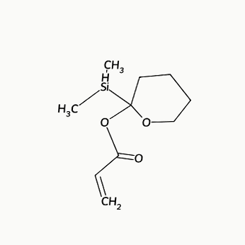 C=CC(=O)OC1([SiH](C)C)CCCCO1